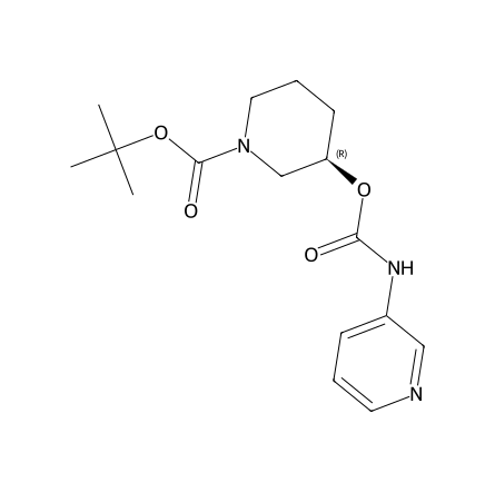 CC(C)(C)OC(=O)N1CCC[C@@H](OC(=O)Nc2cccnc2)C1